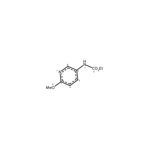 CCOC(=O)Nc1ccc(OC)nc1